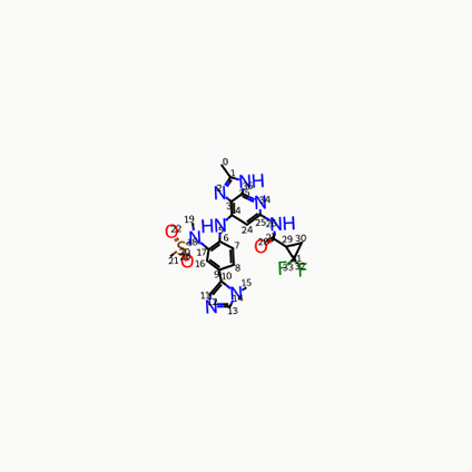 Cc1nc2c(Nc3ccc(-c4cncn4C)cc3N(C)S(C)(=O)=O)cc(NC(=O)C3CC3(F)F)nc2[nH]1